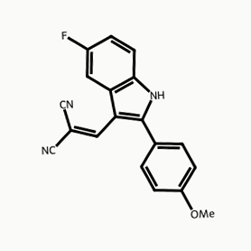 COc1ccc(-c2[nH]c3ccc(F)cc3c2C=C(C#N)C#N)cc1